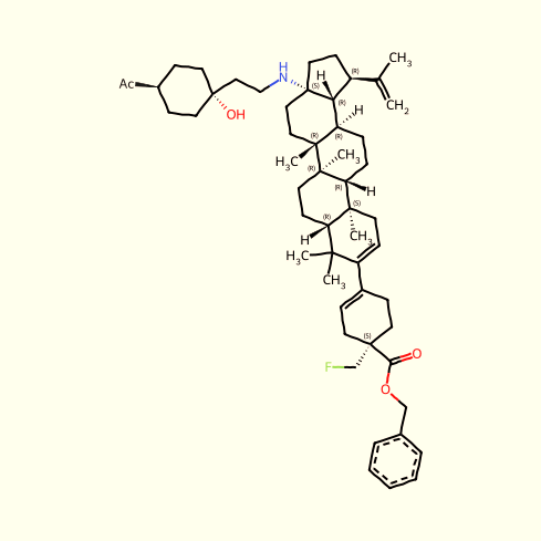 C=C(C)[C@@H]1CC[C@]2(NCC[C@]3(O)CC[C@H](C(C)=O)CC3)CC[C@]3(C)[C@H](CC[C@@H]4[C@@]5(C)CC=C(C6=CC[C@](CF)(C(=O)OCc7ccccc7)CC6)C(C)(C)[C@@H]5CC[C@]43C)[C@@H]12